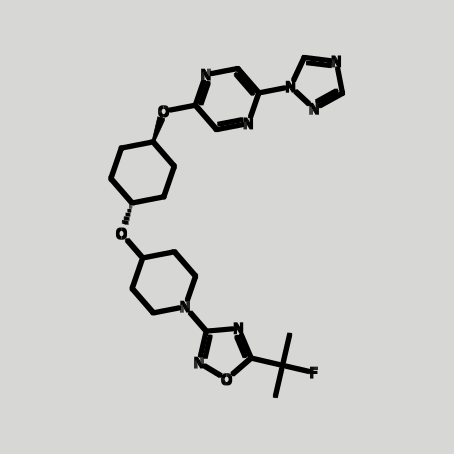 CC(C)(F)c1nc(N2CCC(O[C@H]3CC[C@H](Oc4cnc(-n5cncn5)cn4)CC3)CC2)no1